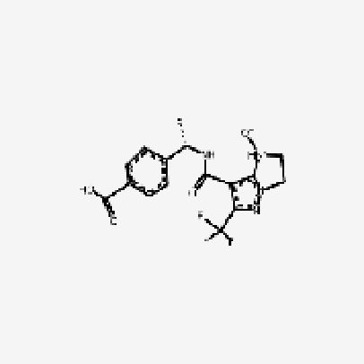 C[C@H](NC(=O)c1c(C(F)(F)F)nn2c1[NH+]([O-])CC2)c1ccc(C(=O)O)cc1